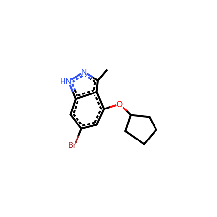 Cc1n[nH]c2cc(Br)cc(OC3CCCC3)c12